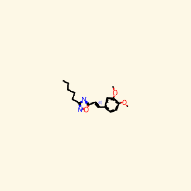 CCCCCc1noc(/C=C/c2ccc(OC)c(OC)c2)n1